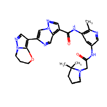 Cc1ncc(NC(=O)CN2CCCC2(C)C)cc1NC(=O)c1cnn2cc(-c3cnn4c3OCCC4)ncc12